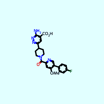 COc1cc(C(=O)N2CCC(c3cc(C(=O)O)c(N)nn3)CC2)ncc1-c1ccc(F)cc1